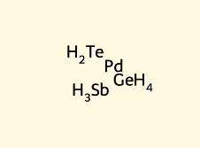 [GeH4].[Pd].[SbH3].[TeH2]